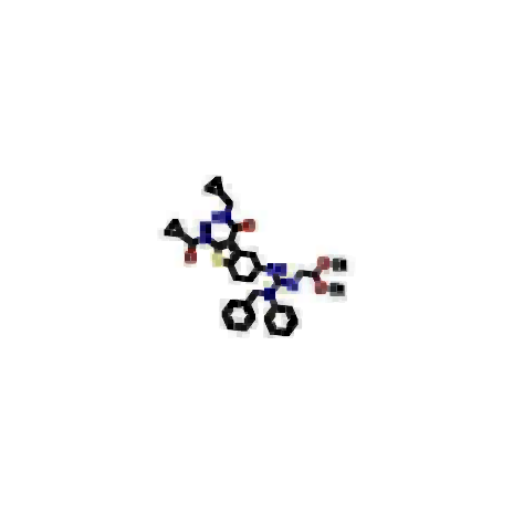 CCOC(C/N=C(\NC1CCc2sc(NC(=O)C3CC3)c(C(=O)NCC3CC3)c2C1)N(Cc1ccccc1)c1ccccc1)OCC